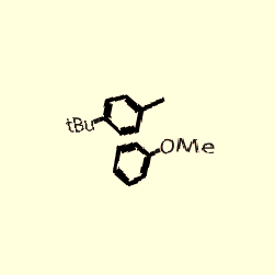 COc1ccccc1.Cc1ccc(C(C)(C)C)cc1